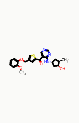 [CH2][C@@H]1C[C@@H](Nc2ncncc2C(=O)c2cc(COc3ccccc3OC)cs2)C[C@@H]1O